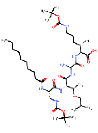 CCCCCCCCCC(=O)N[C@@H](CNC(=O)OC(C)(C)C)C(=O)N[C@H](C(=O)N[C@@H](N)C(=O)N[C@H](C(=O)O)[C@@H](C)CCCNC(=O)OC(C)(C)C)[C@@H](C)OCC(C)C